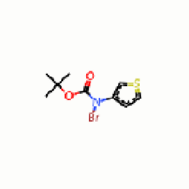 CC(C)(C)OC(=O)N(Br)c1ccsc1